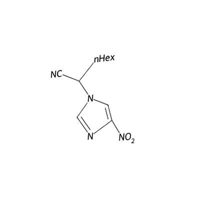 CCCCCCC(C#N)n1cnc([N+](=O)[O-])c1